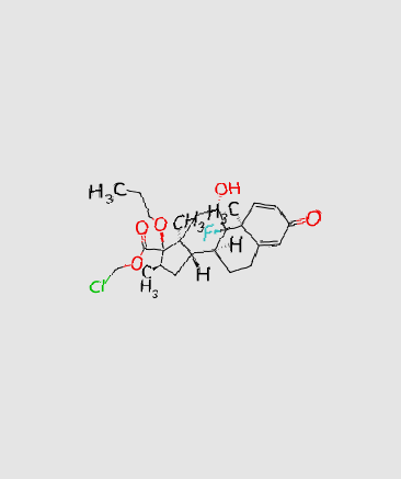 CCCO[C@]1(C(=O)OCCl)[C@H](C)C[C@H]2[C@@H]3CCC4=CC(=O)C=C[C@]4(C)[C@@]3(F)[C@@H](O)C[C@@]21C